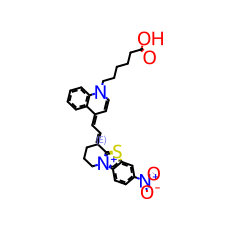 O=C(O)CCCCCN1C=CC(=C/C=C2\CCC[n+]3c2sc2cc([N+](=O)[O-])ccc23)c2ccccc21